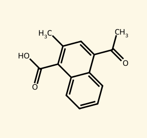 CC(=O)c1cc(C)c(C(=O)O)c2ccccc12